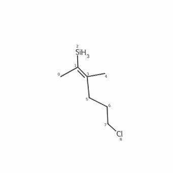 CC([SiH3])=C(C)CCCCl